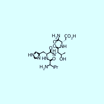 CC(C)C(N)C(=O)N[C@@H](Cc1c[nH]cn1)C(=O)N[C@H](C(=O)N[C@@H](CC(=O)O)C(N)=O)[C@@H](C)O